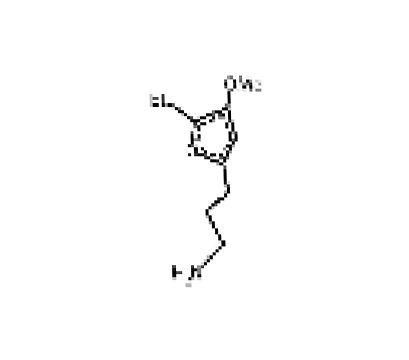 CCc1oc(CCCN)cc1OC